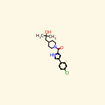 CC(C)(O)CC1CCN(C(=O)c2cc(-c3ccc(Cl)cc3)c[nH]2)CC1